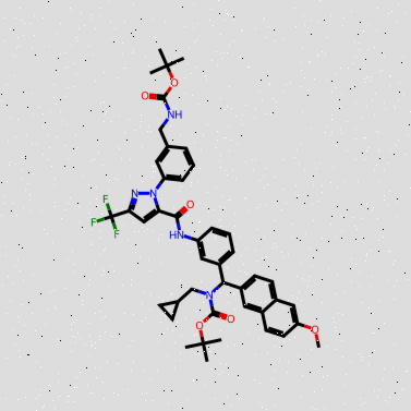 COc1ccc2cc(C(c3cccc(NC(=O)c4cc(C(F)(F)F)nn4-c4cccc(CNC(=O)OC(C)(C)C)c4)c3)N(CC3CC3)C(=O)OC(C)(C)C)ccc2c1